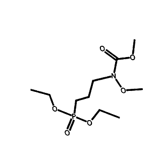 CCOP(=O)(CCCN(OC)C(=O)OC)OCC